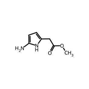 COC(=O)Cc1ccc(N)[nH]1